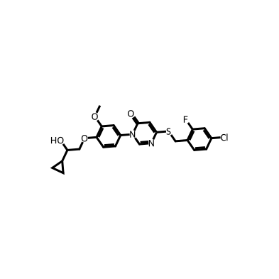 COc1cc(-n2cnc(SCc3ccc(Cl)cc3F)cc2=O)ccc1OCC(O)C1CC1